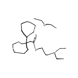 CCN(CC)CCOC(=O)C1(C2CCCCC2)CCCCC1.CCOCC